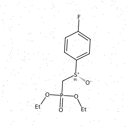 CCOP(=O)(C[S@@+]([O-])c1ccc(F)cc1)OCC